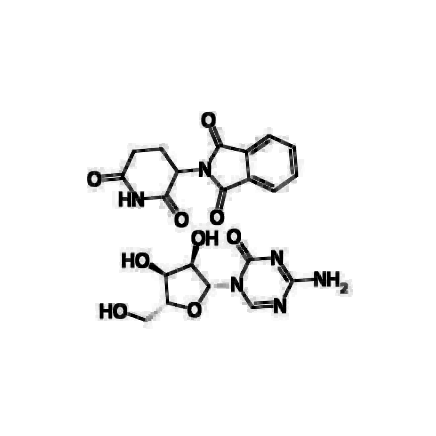 Nc1ncn([C@@H]2O[C@H](CO)[C@@H](O)[C@H]2O)c(=O)n1.O=C1CCC(N2C(=O)c3ccccc3C2=O)C(=O)N1